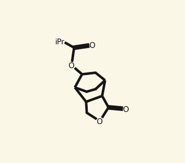 CC(C)C(=O)OC1CC2CCC1C1COC(=O)C21